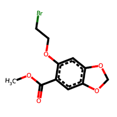 COC(=O)c1cc2c(cc1OCCBr)OCO2